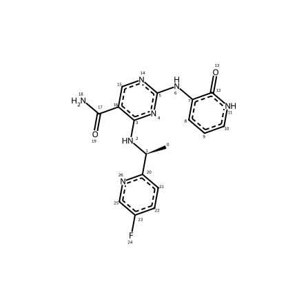 C[C@H](Nc1nc(Nc2ccc[nH]c2=O)ncc1C(N)=O)c1ccc(F)cn1